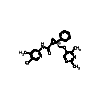 Cc1ncc(OC[C@@]2(c3ccccc3)CC2C(=O)Nc2cc(C)c(Cl)cn2)c(C)n1